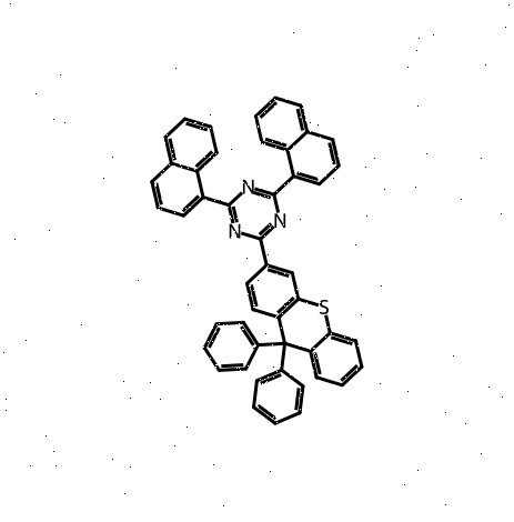 c1ccc(C2(c3ccccc3)c3ccccc3Sc3cc(-c4nc(-c5cccc6ccccc56)nc(-c5cccc6ccccc56)n4)ccc32)cc1